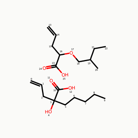 C=CCC(O)(CCCCC)C(=O)O.C=CCC(OCC(C)CC)C(=O)O